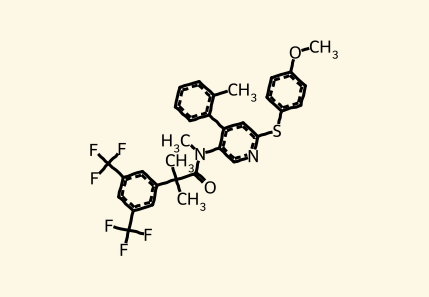 COc1ccc(Sc2cc(-c3ccccc3C)c(N(C)C(=O)C(C)(C)c3cc(C(F)(F)F)cc(C(F)(F)F)c3)cn2)cc1